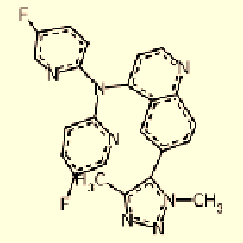 Cc1nnn(C)c1-c1ccc2nccc(N(c3ccc(F)cn3)c3ccc(F)cn3)c2c1